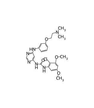 COc1cc(NC(=O)Nc2cc(Nc3cccc(OCCN(C)C)c3)ncn2)c(Cl)c(OC)c1